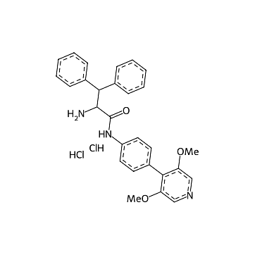 COc1cncc(OC)c1-c1ccc(NC(=O)C(N)C(c2ccccc2)c2ccccc2)cc1.Cl.Cl